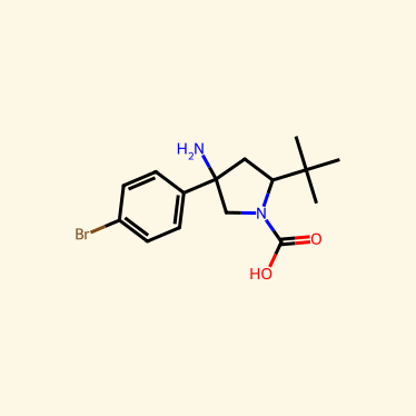 CC(C)(C)C1CC(N)(c2ccc(Br)cc2)CN1C(=O)O